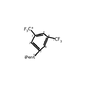 CCCC(C)c1cc(C(F)(F)F)cc(C(F)(F)F)c1